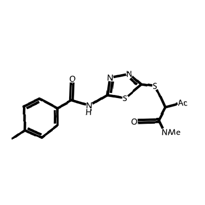 CNC(=O)C(Sc1nnc(NC(=O)c2ccc(C)cc2)s1)C(C)=O